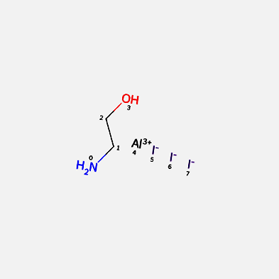 NCCO.[Al+3].[I-].[I-].[I-]